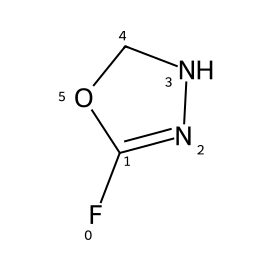 FC1=NNCO1